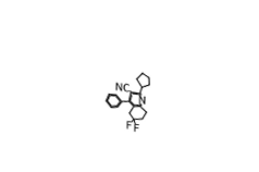 N#Cc1c(C2CCCC2)nc2c(c1-c1ccccc1)CC(F)(F)CC2